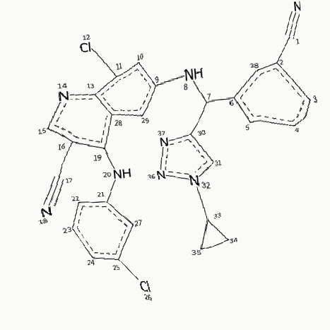 N#Cc1cccc(C(Nc2cc(Cl)c3ncc(C#N)c(Nc4cccc(Cl)c4)c3c2)c2cn(C3CC3)nn2)c1